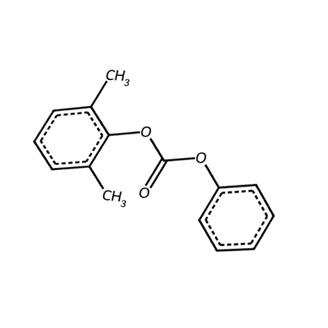 Cc1cccc(C)c1OC(=O)Oc1ccccc1